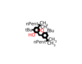 CCCCCC(C)(C)c1cc(Cc2cc(C(C)(C)CCCCC)cc(C(C)(C)C)c2O)c(O)c(C(C)(C)C)c1